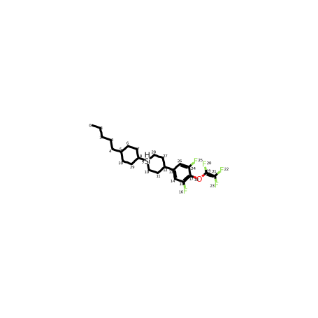 CCCCCC1CCC([SiH]2CCC(c3cc(F)c(OC(F)=C(F)F)c(F)c3)CC2)CC1